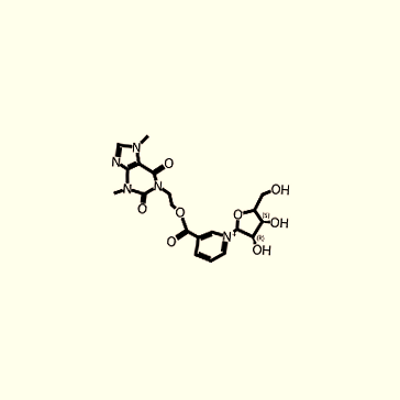 Cn1cnc2c1c(=O)n(CCOC(=O)c1ccc[n+](C3OC(CO)[C@@H](O)[C@H]3O)c1)c(=O)n2C